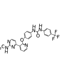 CNc1nccc(-c2cccnc2Oc2ccc(NC(=O)Nc3ccc(C(F)(F)F)cc3)cc2)n1